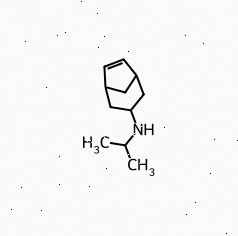 CC(C)NC1CC2C=CC(C2)C1